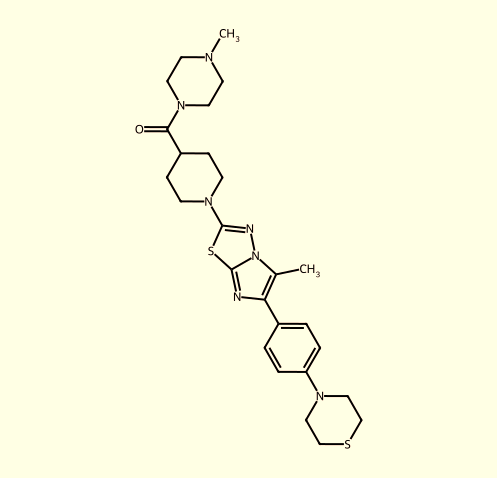 Cc1c(-c2ccc(N3CCSCC3)cc2)nc2sc(N3CCC(C(=O)N4CCN(C)CC4)CC3)nn12